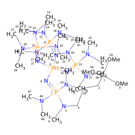 CO[Si](CCCN(C)P(=N[PH](N=P(N(C)C)(N(C)C)N(C)C)(N=P(N(C)C)(N(C)C)N(C)C)N=P(N(C)C)(N(C)C)N(C)C)(N(C)C)N(C)C)(OC)OC